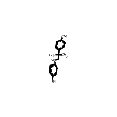 CC(C)(C)c1ccc(NCC(C)(C)c2ccc(C#N)cc2)cc1